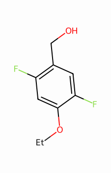 CCOc1cc(F)c(CO)cc1F